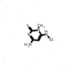 CCNc1cc(N)nc(=S)n1C